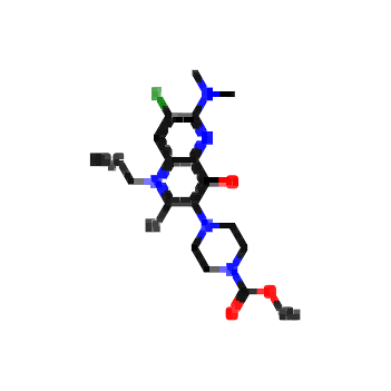 CCc1c(N2CCN(C(=O)OC(C)(C)C)CC2)c(=O)c2nc(N(C)C)c(F)cc2n1CC(=O)O